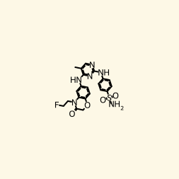 Cc1cnc(Nc2ccc(S(N)(=O)=O)cc2)nc1Nc1ccc2c(c1)N(CCF)C(=O)CO2